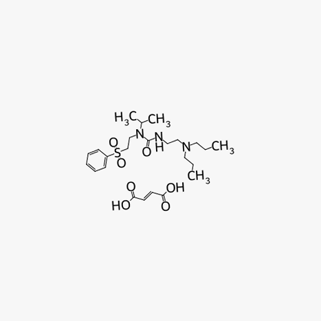 CCCN(CCC)CCNC(=O)N(CCS(=O)(=O)c1ccccc1)C(C)C.O=C(O)C=CC(=O)O